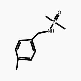 Cc1ccc(CNP(C)(C)=O)cc1